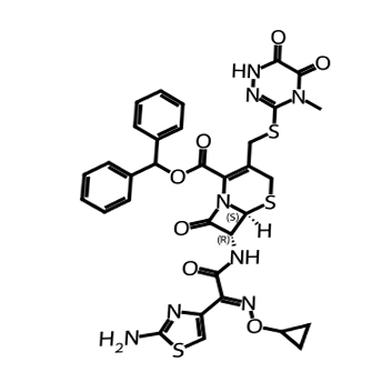 Cn1c(SCC2=C(C(=O)OC(c3ccccc3)c3ccccc3)N3C(=O)[C@@H](NC(=O)C(=NOC4CC4)c4csc(N)n4)[C@@H]3SC2)n[nH]c(=O)c1=O